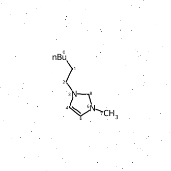 CCCCCCN1C=CN(C)C1